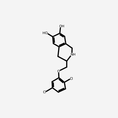 Oc1cc2c(cc1O)CC(COc1cc(Cl)ccc1Cl)NC2